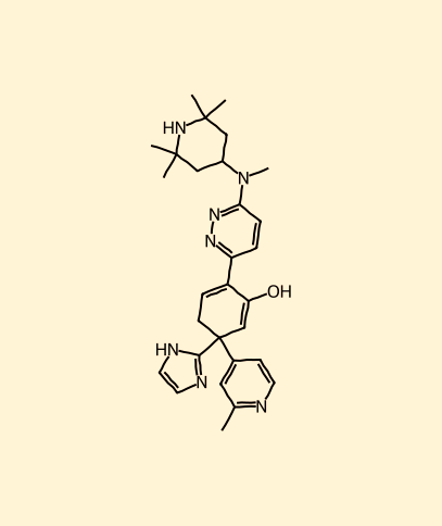 Cc1cc(C2(c3ncc[nH]3)C=C(O)C(c3ccc(N(C)C4CC(C)(C)NC(C)(C)C4)nn3)=CC2)ccn1